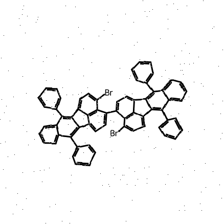 Brc1ccc2c3c(ccc(-c4ccc5c6c(ccc(Br)c46)-c4c-5c(-c5ccccc5)c5ccccc5c4-c4ccccc4)c13)-c1c-2c(-c2ccccc2)c2ccccc2c1-c1ccccc1